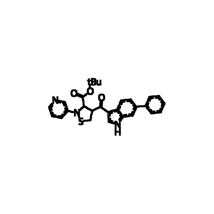 CC(C)(C)OC(=O)C1C(C(=O)c2c[nH]c3cc(-c4ccccc4)ccc23)CSN1c1cccnc1